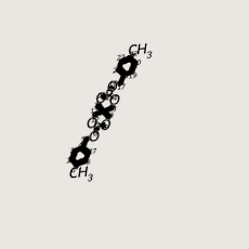 Cc1ccc(COP2OCC3(CO2)COP(OCc2ccc(C)cc2)OC3)cc1